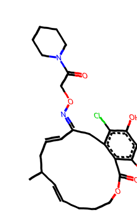 CC1/C=C/CCCOC(=O)c2c(O)cc(O)c(Cl)c2CC(=NOCC(=O)N2CCCCC2)/C=C/C1